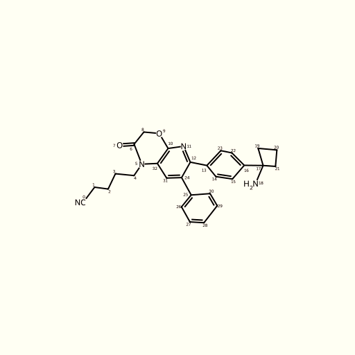 N#CCCCCN1C(=O)COc2nc(-c3ccc(C4(N)CCC4)cc3)c(-c3ccccc3)cc21